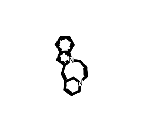 C1=CC2=Cc3cc4ccccc4n3CC=CN(C1)C2